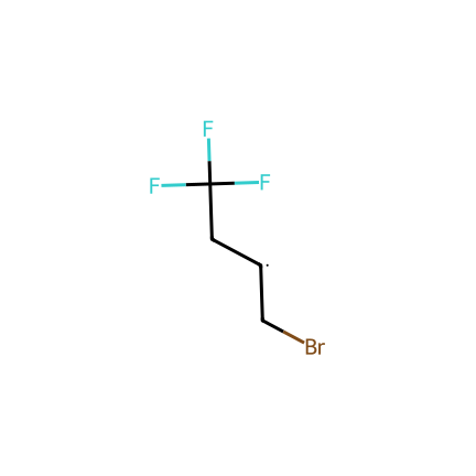 FC(F)(F)C[CH]CBr